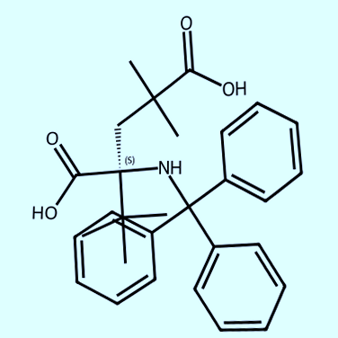 CC(C)(C[C@@](NC(c1ccccc1)(c1ccccc1)c1ccccc1)(C(=O)O)C(C)(C)C)C(=O)O